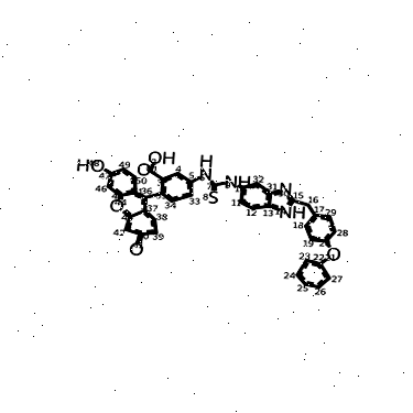 O=C(O)c1cc(NC(=S)Nc2ccc3[nH]c(Cc4ccc(Oc5ccccc5)cc4)nc3c2)ccc1-c1c2ccc(=O)cc-2oc2cc(O)ccc12